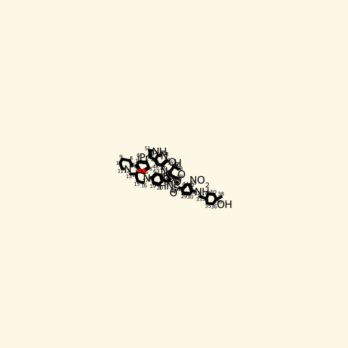 CC(C)c1ccccc1[C@H]1CCCCN1CC1CCN(c2ccc(C(=O)NS(=O)(=O)c3ccc(NCC4CCC(C)(O)CC4)c([N+](=O)[O-])c3)c(N3c4cc5cc[nH]c5nc4O[C@H]4COCC[C@@H]43)c2)CC1